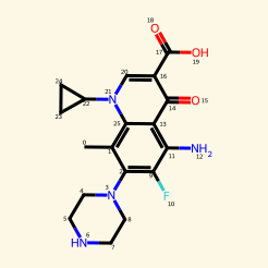 Cc1c(N2CCNCC2)c(F)c(N)c2c(=O)c(C(=O)O)cn(C3CC3)c12